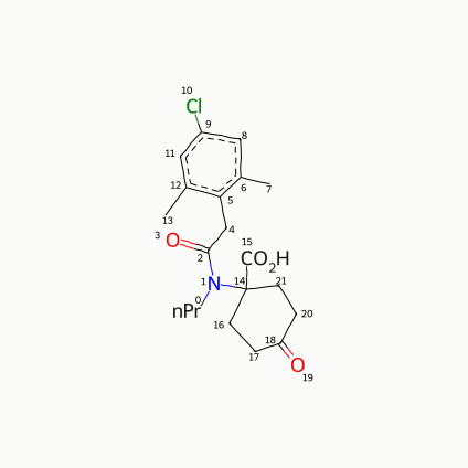 CCCN(C(=O)Cc1c(C)cc(Cl)cc1C)C1(C(=O)O)CCC(=O)CC1